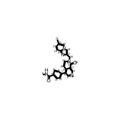 CNC(=O)c1ccc(-c2cncc3c(=O)n(Cc4cn5cc(C)ccc5n4)ccc23)cc1